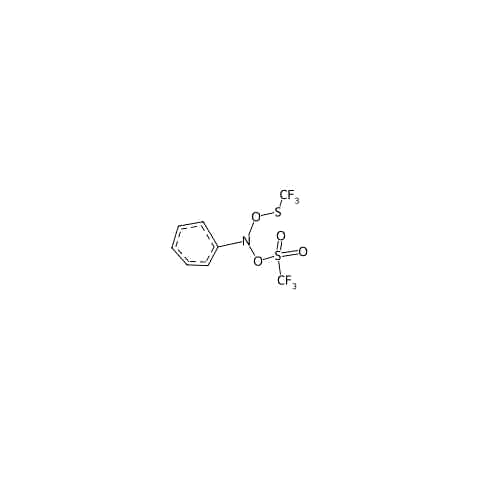 O=S(=O)(ON(OSC(F)(F)F)c1ccccc1)C(F)(F)F